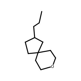 CCCC1CCC2(CCOCC2)C1